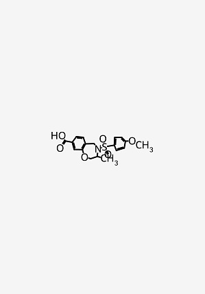 COc1ccc(S(=O)(=O)N2Cc3ccc(C(=O)O)cc3OCC2C)cc1